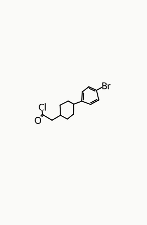 O=C(Cl)CC1CCC(c2ccc(Br)cc2)CC1